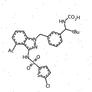 CC(=O)c1cccc2c1c(NS(=O)(=O)c1ccc(Cl)s1)nn2Cc1cccc(C(NC(=O)O)C(C)(C)C)c1